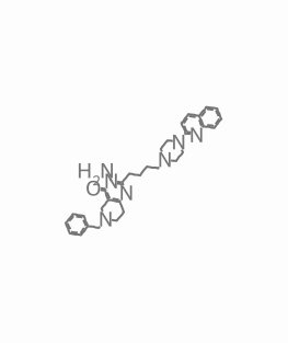 Nn1c(CCCCN2CCN(c3ccc4ccccc4n3)CC2)nc2c(c1=O)CN(Cc1ccccc1)CC2